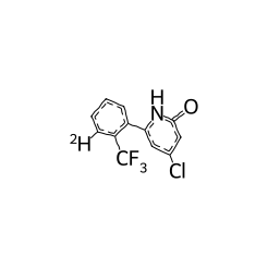 [2H]c1cccc(-c2cc(Cl)cc(=O)[nH]2)c1C(F)(F)F